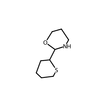 C1CNC(C2CCCCS2)OC1